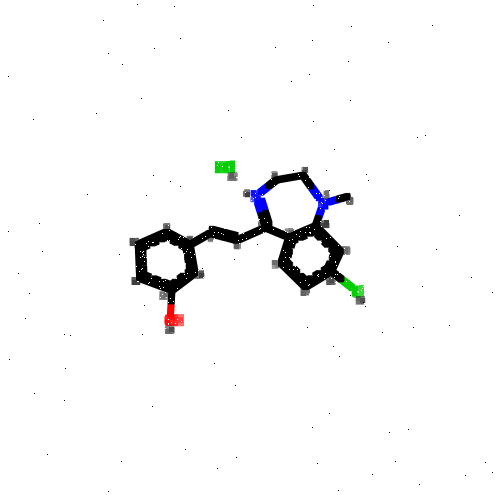 CN1CCN=C(C=Cc2cccc(O)c2)c2ccc(Cl)cc21.Cl